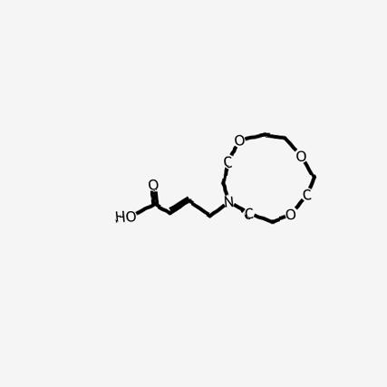 O=C(O)C=CCN1CCOCCOCCOCC1